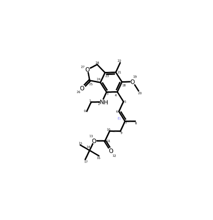 CCNc1c(C/C=C(\C)CCC(=O)OC(C)(C)C)c(OC)c(C)c2c1C(=O)OC2